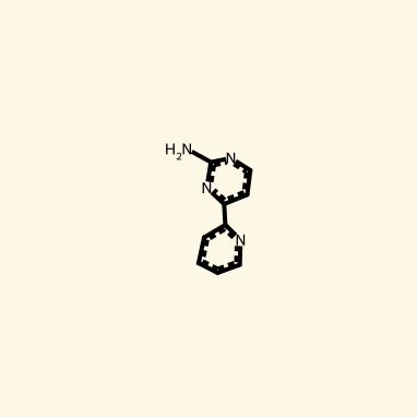 Nc1nccc(-c2ccccn2)n1